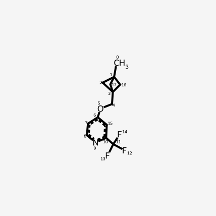 CC12CC(COc3ccnc(C(F)(F)F)c3)(C1)C2